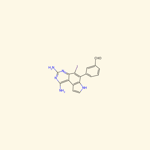 Nc1nc(N)c2c(n1)c(I)c(-c1cccc(C=O)c1)c1[nH]ccc12